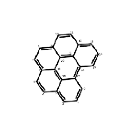 [c]1ccc2ccc3ccc4ccc5cccc6c1c2c3c4c56